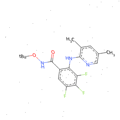 Cc1cnc(Nc2c(C(=O)NOC(C)(C)C)cc(F)c(F)c2F)c(C)c1